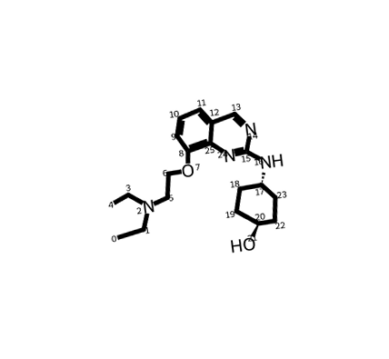 CCN(CC)CCOc1cccc2cnc(N[C@H]3CC[C@H](O)CC3)nc12